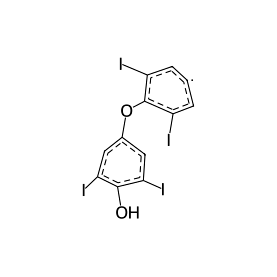 Oc1c(I)cc(Oc2c(I)c[c]cc2I)cc1I